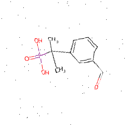 CC(C)(c1cccc(C=O)c1)P(=O)(O)O